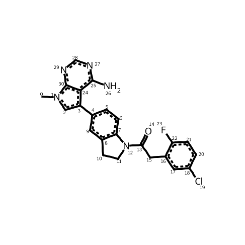 Cn1cc(-c2ccc3c(c2)CCN3C(=O)Cc2cc(Cl)ccc2F)c2c(N)ncnc21